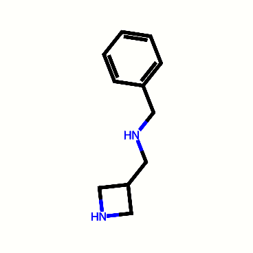 c1ccc(CNCC2CNC2)cc1